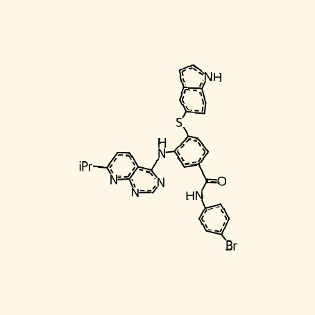 CC(C)c1ccc2c(Nc3cc(C(=O)Nc4ccc(Br)cc4)ccc3Sc3ccc4[nH]ccc4c3)ncnc2n1